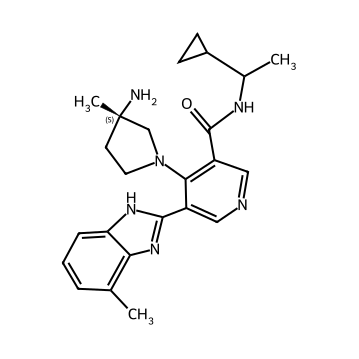 Cc1cccc2[nH]c(-c3cncc(C(=O)NC(C)C4CC4)c3N3CC[C@](C)(N)C3)nc12